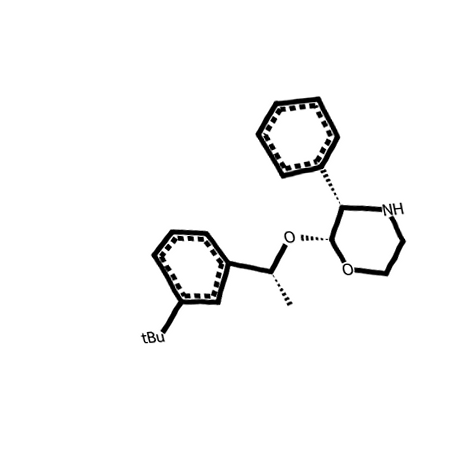 C[C@@H](O[C@H]1OCCN[C@H]1c1ccccc1)c1cccc(C(C)(C)C)c1